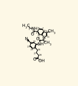 CCNC(=O)c1ccc2c(C)cn(C(C)C(=O)Nc3cc(C#N)ccc3CCCC(=O)O)c2c1